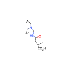 CC(=O)CN(CNC(=O)CC(C)C(=O)O)CC(C)=O